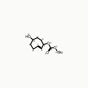 CC(C)(C)OC(=O)OC1/C=C/CCC(O)CC1